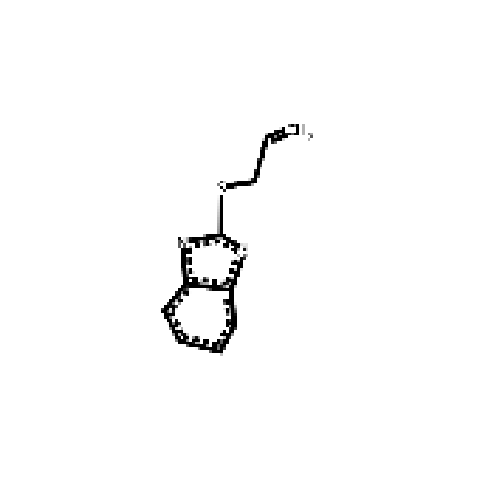 C=C[CH]Sc1nc2ccccc2s1